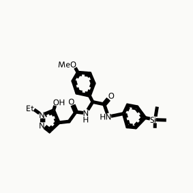 CCn1ncc(CC(=O)NC(C(=O)Nc2ccc([Si](C)(C)C)cc2)c2ccc(OC)cc2)c1O